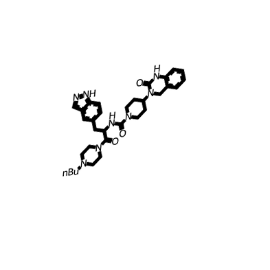 CCCCN1CCN(C(=O)C(Cc2ccc3[nH]ncc3c2)NC(=O)N2CCC(N3Cc4ccccc4NC3=O)CC2)CC1